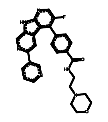 O=C(NCCN1CCOCC1)c1ccc(-c2c(F)cnc3[nH]c4cnc(-c5cccnc5)cc4c23)cc1